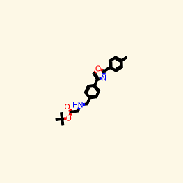 Cc1ccc(-c2nc(-c3ccc(CNCC(=O)OC(C)(C)C)cc3)co2)cc1